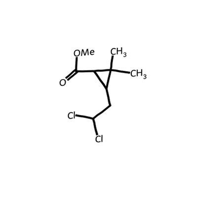 COC(=O)C1C(CC(Cl)Cl)C1(C)C